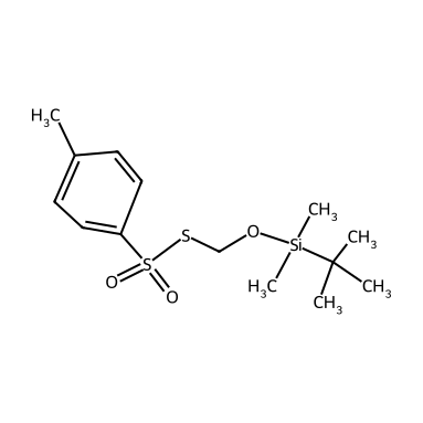 Cc1ccc(S(=O)(=O)SCO[Si](C)(C)C(C)(C)C)cc1